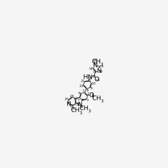 COc1cc2c(cc1-c1ccc(NC(=O)c3cn(C)cn3)cc1)c1ccnc(C)c1n2C